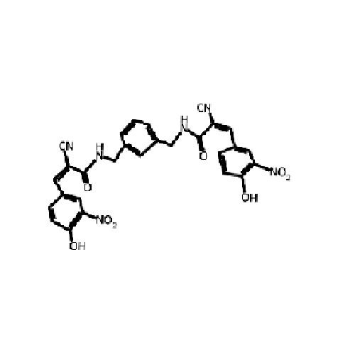 [C-]#[N+]/C(=C/c1ccc(O)c([N+](=O)[O-])c1)C(=O)NCc1cccc(CNC(=O)/C(C#N)=C\c2ccc(O)c([N+](=O)[O-])c2)c1